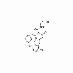 CCOC(=O)CNC(=O)C1C(=O)N=C(Cc2ccccc2Cl)N(Cc2ccccc2Br)C1=O